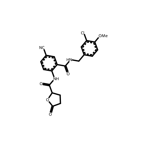 COc1ccc(CNC(=O)c2cc(C#N)ccc2NC(=O)C2CCC(=O)O2)cc1Cl